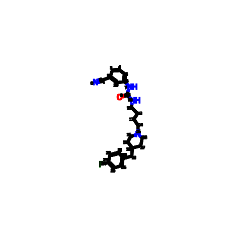 N#Cc1cccc(NC(=O)NCCCCN2CCC(Cc3ccc(F)cc3)CC2)c1